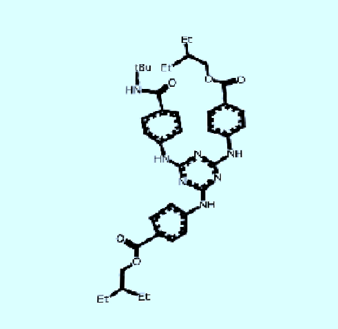 CCC(CC)COC(=O)c1ccc(Nc2nc(Nc3ccc(C(=O)NC(C)(C)C)cc3)nc(Nc3ccc(C(=O)OCC(CC)CC)cc3)n2)cc1